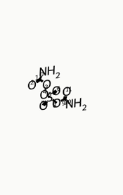 NC(=O)OOS(=O)(=O)OC(N)=O